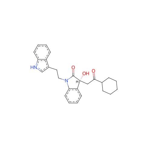 O=C(C[C@]1(O)C(=O)N(CCc2c[nH]c3ccccc23)c2ccccc21)C1CCCCC1